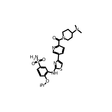 CC(C)Oc1ccc(S(N)(=O)=O)cc1Nc1nc(-c2ccc(C(=O)N3CCC(N(C)C)CC3)nc2)cs1